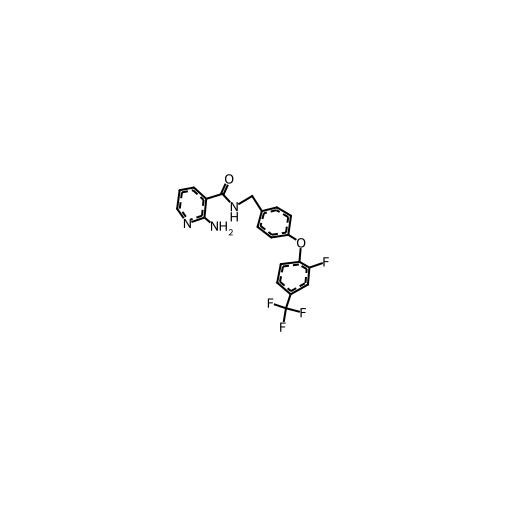 Nc1ncccc1C(=O)NCc1ccc(Oc2ccc(C(F)(F)F)cc2F)cc1